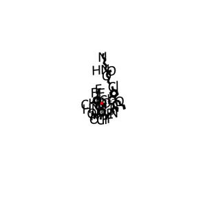 C=CCOC(Cn1ccnc1)c1ccc(Cl)cc1Cl.CCCOC(=O)NCCCN(C)C.O=[N+]([O-])c1cc(C(F)(F)F)c(Cl)c([N+](=O)[O-])c1Nc1ncc(C(F)(F)F)cc1Cl